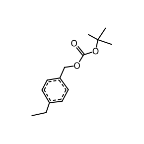 CCc1ccc(COC(=O)OC(C)(C)C)cc1